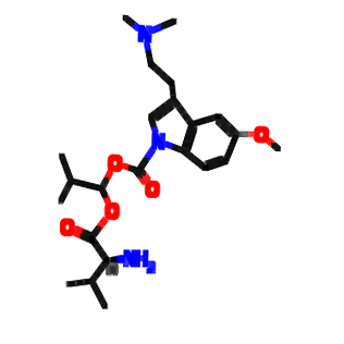 COc1ccc2c(c1)c(CCN(C)C)cn2C(=O)OC(OC(=O)[C@@H](N)C(C)C)C(C)C